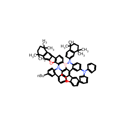 CCCCc1ccc(N2c3cc4oc5ccccc5c4c4c3B(c3ccc5c(oc6cc7c(cc65)C(C)(C)CCC7(C)C)c32)N(c2ccc3c(c2)C(C)(C)CCC3(C)C)c2ccc(N(c3ccccc3)c3ccccc3)cc2-4)c(-c2ccccc2)c1